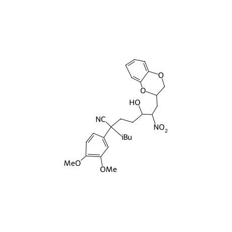 CCC(C)C(C#N)(CCC(O)C(CC1COc2ccccc2O1)[N+](=O)[O-])c1ccc(OC)c(OC)c1